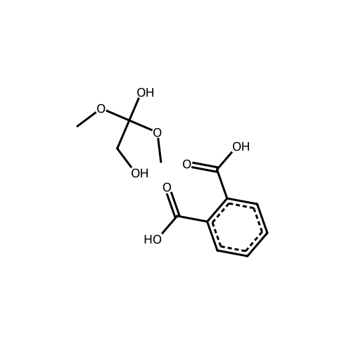 COC(O)(CO)OC.O=C(O)c1ccccc1C(=O)O